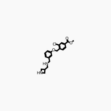 COC(=O)c1ccc(COc2cccc(CNCC3CNC3)c2)c(Cl)c1